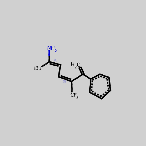 C=C(/C(=C\C=C(\N)C(C)CC)C(F)(F)F)c1ccccc1